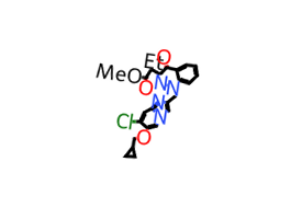 CCC(C(=O)OC)c1nn(Cc2cn3cc(OCC4CC4)c(Cl)cc3n2)c2ccccc2c1=O